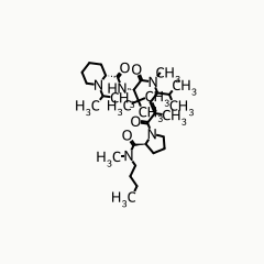 CCCCN(C)C(=O)[C@@H]1CCCN1C(=O)/C(C)=C/C(C(C)C)N(C)C(=O)[C@@H](NC(=O)[C@H]1CCCCN1C(C)C)C(C)(C)C